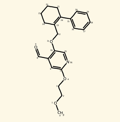 COCCOc1cc(C=O)c(OCC2=C(c3ccccc3)CCCC2)cn1